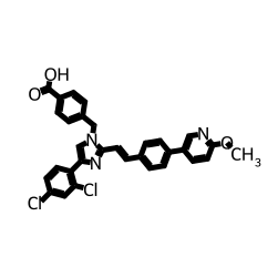 COc1ccc(-c2ccc(C=Cc3nc(-c4ccc(Cl)cc4Cl)cn3Cc3ccc(C(=O)O)cc3)cc2)cn1